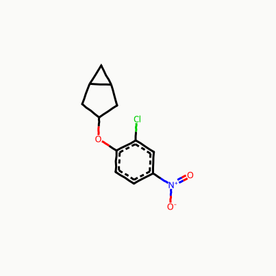 O=[N+]([O-])c1ccc(OC2CC3CC3C2)c(Cl)c1